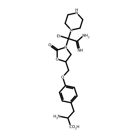 CCC(C(=N)N)(N1CCNCC1)N1CC(COc2ccc(CC(N)C(=O)O)cc2)OC1=O